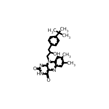 Cc1cc2nc3c(=O)[nH]c(=O)nc-3n(CC(O)Cc3ccc(C(C)(C)C)cc3)c2cc1C